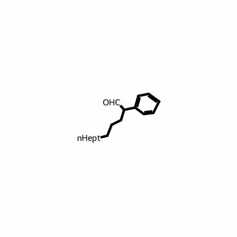 CCCCCCCCCCC(C=O)c1ccccc1